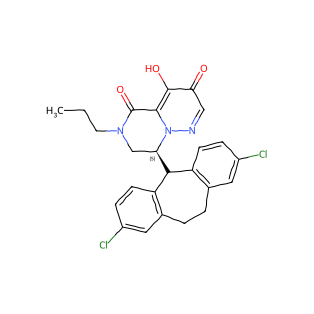 CCCN1C[C@H](C2c3ccc(Cl)cc3CCc3cc(Cl)ccc32)n2ncc(=O)c(O)c2C1=O